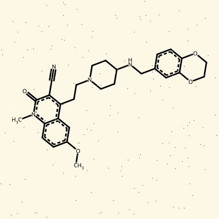 COc1ccc2c(c1)c(CCN1CCC(NCc3ccc4c(c3)OCCO4)CC1)c(C#N)c(=O)n2C